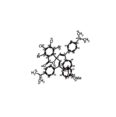 COc1ccc(C(=CC2(C=C(c3ccc(OC)cc3)c3ccc(N(C)C)cc3)OC(=O)c3c(Br)c(Cl)c(Cl)c(Br)c32)c2ccc(N(C)C)cc2)cc1